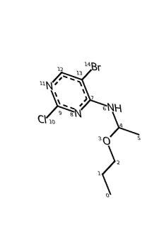 CCCOC(C)Nc1nc(Cl)ncc1Br